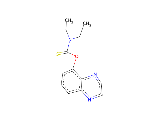 CCN(CC)C(=S)Oc1cccc2nccnc12